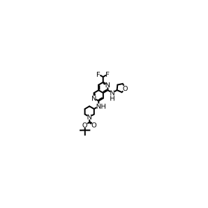 CC(C)(C)OC(=O)N1CCCC(Nc2cc3c(NC4CCOC4)nc(C(F)F)cc3cn2)C1